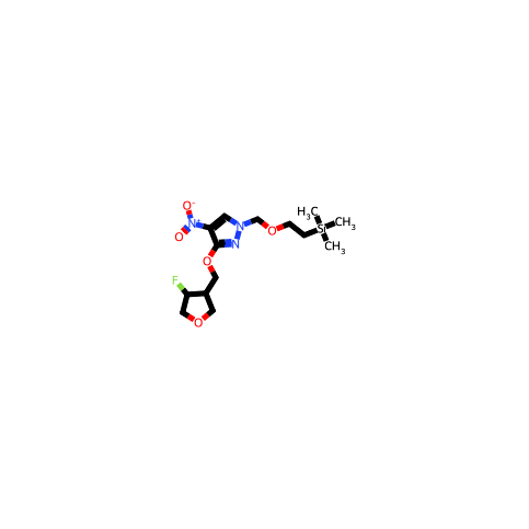 C[Si](C)(C)CCOCn1cc([N+](=O)[O-])c(OCC2COCC2F)n1